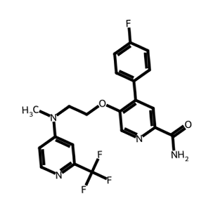 CN(CCOc1cnc(C(N)=O)cc1-c1ccc(F)cc1)c1ccnc(C(F)(F)F)c1